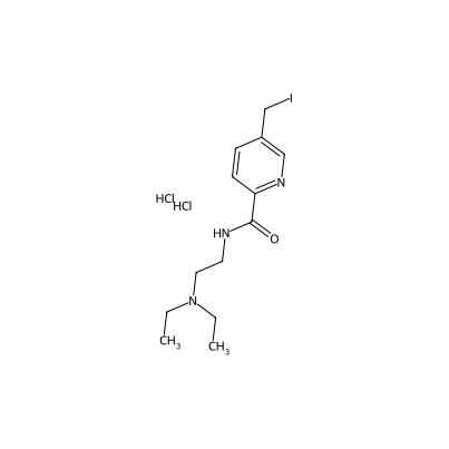 CCN(CC)CCNC(=O)c1ccc(CI)cn1.Cl.Cl